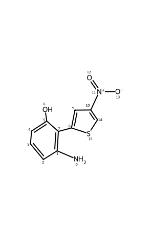 Nc1cccc(O)c1-c1cc([N+](=O)[O-])cs1